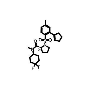 Cc1ccc(S(=O)(=O)N2CCC[C@H]2C(=O)N(C)C2CCC(F)(F)CC2)c(C2=CCCC2)c1